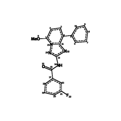 COc1ccc(-c2ccccc2)c2nc(NC(=O)c3cccc(F)c3)nn12